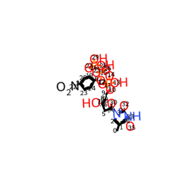 Cc1cn([C@H]2C[C@H](O)[C@@H](COP(=O)(O)OP(=O)(Oc3ccc([N+](=O)[O-])cc3)OP(=O)(O)O)O2)c(=O)[nH]c1=O